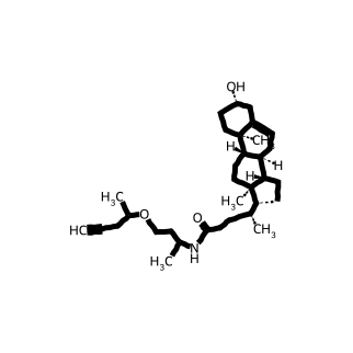 C#CCC(C)OCCC(C)NC(=O)CC[C@@H](C)[C@H]1CC[C@H]2[C@@H]3CC=C4C[C@@H](O)CC[C@]4(C)[C@H]3CC[C@]12C